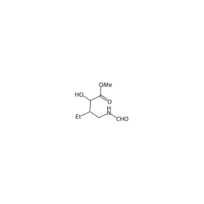 CCC(CNC=O)C(O)C(=O)OC